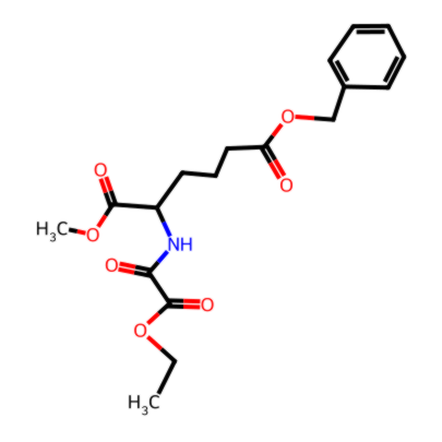 CCOC(=O)C(=O)NC(CCCC(=O)OCc1ccccc1)C(=O)OC